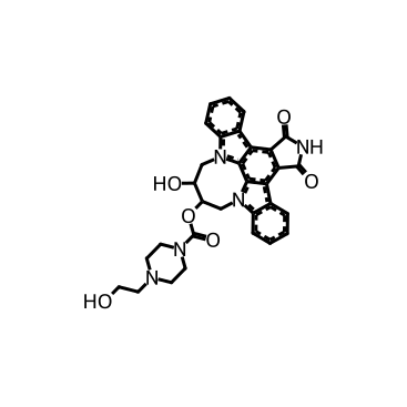 O=C1NC(=O)c2c1c1c3ccccc3n3c1c1c2c2ccccc2n1CC(OC(=O)N1CCN(CCO)CC1)C(O)C3